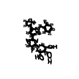 O[C@@H]1[C@H](O)CN(c2nc(-c3cc(-c4ccon4)n(Cc4ccccc4F)n3)ncc2F)C[C@@H]1O